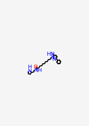 N=c1ccc(-c2ccccc2)nn1CCCCCCCCCCC(=O)NCCC1CCCN1